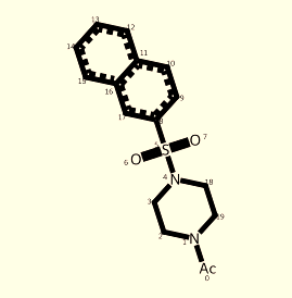 CC(=O)N1CCN(S(=O)(=O)c2ccc3ccccc3c2)CC1